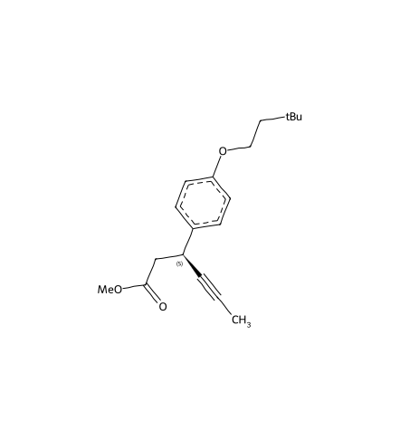 CC#C[C@@H](CC(=O)OC)c1ccc(OCCC(C)(C)C)cc1